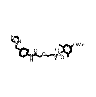 COc1cc(C)c(S(=O)(=O)N(C)CCOCC(=O)Nc2ccc(Cn3cncn3)cc2)c(C)c1